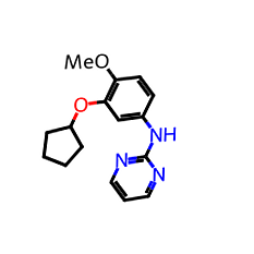 COc1ccc(Nc2ncccn2)cc1OC1CCCC1